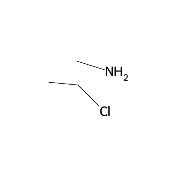 CCCl.CN